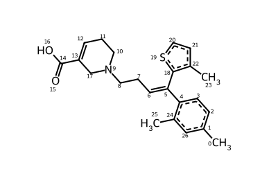 Cc1ccc(C(=CCCN2CCC=C(C(=O)O)C2)c2sccc2C)c(C)c1